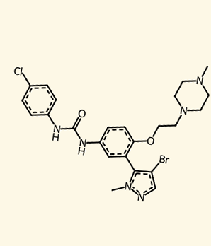 CN1CCN(CCOc2ccc(NC(=O)Nc3ccc(Cl)cc3)cc2-c2c(Br)cnn2C)CC1